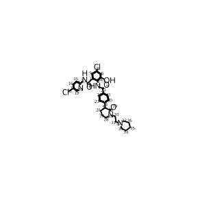 O=C(Nc1c(O)cc(Cl)cc1C(=O)Nc1ccc(Cl)cn1)c1ccc(C2CCCN(CCN3CCCCC3)C2=O)cc1